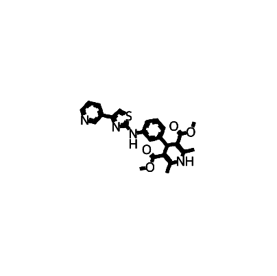 COC(=O)C1=C(C)NC(C)=C(C(=O)OC)C1c1cccc(Nc2nc(-c3cccnc3)cs2)c1